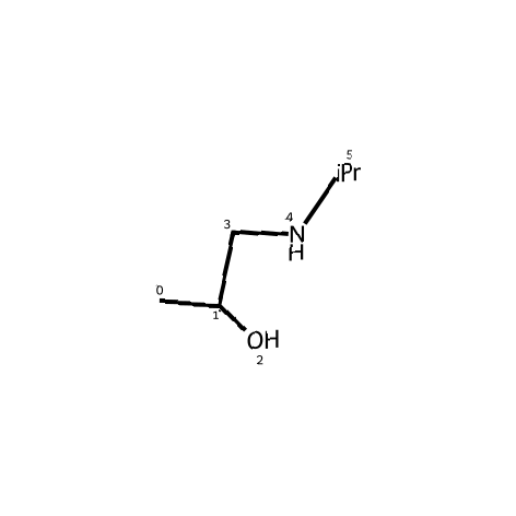 C[C](O)CNC(C)C